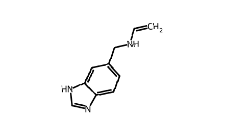 C=CNCc1ccc2nc[nH]c2c1